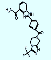 NC(=O)c1cccc2[nH]c(-c3ccc(C(=O)N4CCn5c(nnc5C(F)(F)F)C4)cc3)nc12